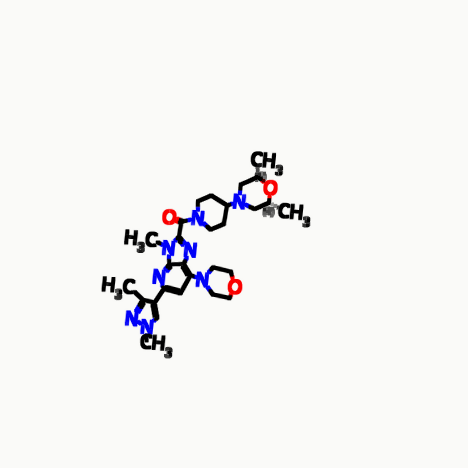 Cc1nn(C)cc1-c1cc(N2CCOCC2)c2nc(C(=O)N3CCC(N4C[C@@H](C)O[C@@H](C)C4)CC3)n(C)c2n1